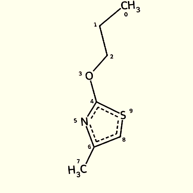 CCCOc1nc(C)cs1